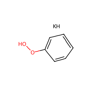 OOc1ccccc1.[KH]